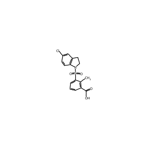 Cc1c(C(=O)O)cccc1S(=O)(=O)N1CCc2cc(Cl)ccc21